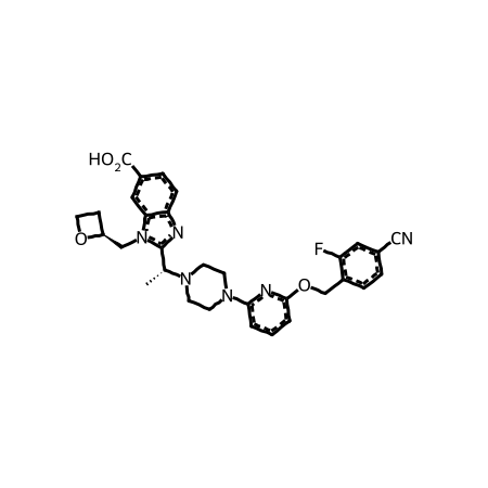 C[C@H](c1nc2ccc(C(=O)O)cc2n1C[C@@H]1CCO1)N1CCN(c2cccc(OCc3ccc(C#N)cc3F)n2)CC1